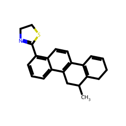 CC1Cc2c(ccc3c(C4=NCCS4)cccc23)C2=C1CCC=C2